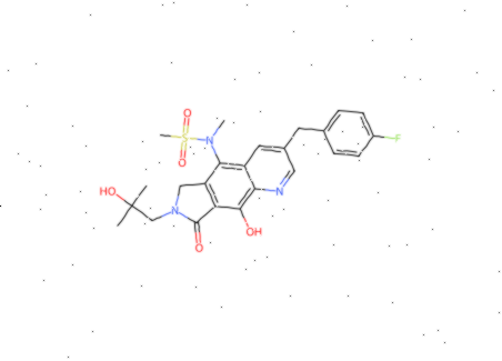 CN(c1c2c(c(O)c3ncc(Cc4ccc(F)cc4)cc13)C(=O)N(CC(C)(C)O)C2)S(C)(=O)=O